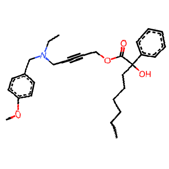 CCCCCCC(O)(C(=O)OCC#CCN(CC)Cc1ccc(OC)cc1)c1ccccc1